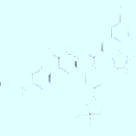 O=C(O)Nc1ccc(-c2cc(C(CC(=O)N3CCC(F)(F)C3)NC(=O)C=Cc3cc(Cl)ccc3-n3cnnn3)n[nH]c2=O)cc1